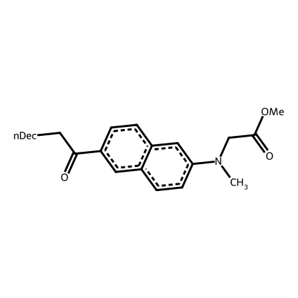 CCCCCCCCCCCC(=O)c1ccc2cc(N(C)CC(=O)OC)ccc2c1